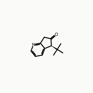 CC(C)(C)[C@@H]1C(=O)Cc2ncccc21